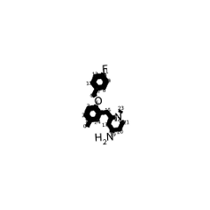 Cc1ccc(OCc2ccc(F)cc2)c(CC2CC(N)CCN2C)c1